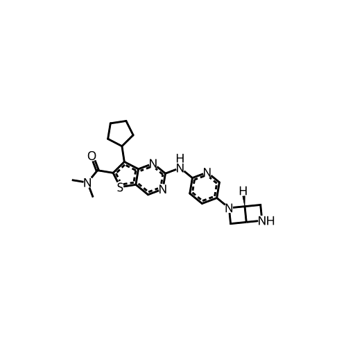 CN(C)C(=O)c1sc2cnc(Nc3ccc(N4CC5NC[C@H]54)cn3)nc2c1C1CCCC1